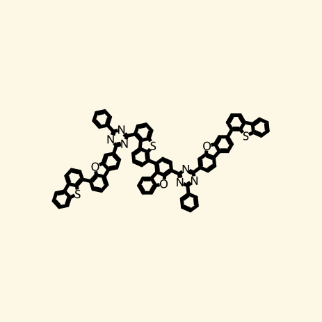 c1ccc(-c2nc(-c3ccc4c(c3)oc3cc(-c5cccc6c5sc5ccccc56)ccc34)nc(-c3ccc(-c4cccc5c4sc4cccc(-c6nc(-c7ccccc7)nc(-c7ccc8c(c7)oc7c(-c9cccc%10c9sc9ccccc9%10)cccc78)n6)c45)c4c3oc3ccccc34)n2)cc1